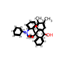 Cc1cc2c(cc1C)C1(c3ccccc3C2O)c2ccccc2N(c2ccccc2)c2ccccc21